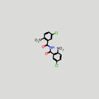 O=C(NC(=O)c1cc(Cl)ccc1[N+](=O)[O-])c1cc(Cl)ccc1[N+](=O)[O-]